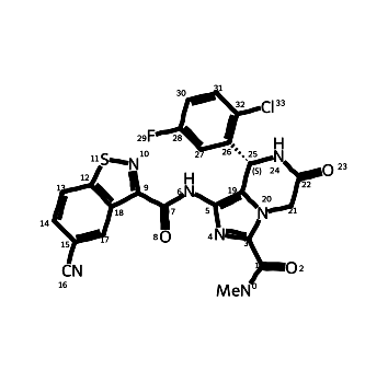 CNC(=O)c1nc(NC(=O)c2nsc3ccc(C#N)cc23)c2n1CC(=O)N[C@H]2c1cc(F)ccc1Cl